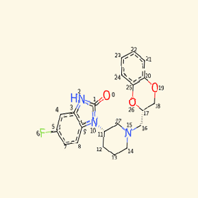 O=c1[nH]c2cc(F)ccc2n1[C@H]1CCCN(C[C@H]2COc3ccccc3O2)C1